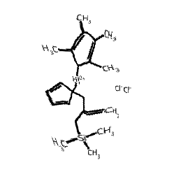 C=C(C[C]1([Hf+2][CH]2C(C)=C(C)C(C)=C2C)C=CC=C1)C[Si](C)(C)C.[Cl-].[Cl-]